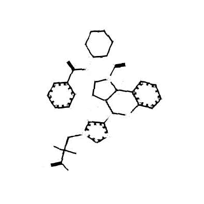 CC(C)(Cn1cnc([C@@H]2Nc3ccccc3[C@H]3[C@@H]2CCN3C(=O)[C@H]2CCCC[C@H]2NC(=O)c2ccccc2)c1)C(=O)O